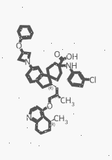 C[C@@H](COc1ccnc2c1[C@H](C)CCC2)C[C@@H]1Cc2ccc(N3CC(Oc4ccccc4)C3)cc2C12CCC(Nc1cccc(Cl)c1)(C(=O)O)CC2